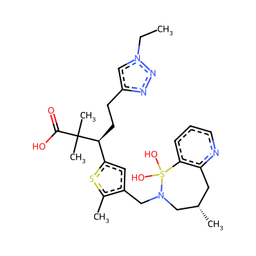 CCn1cc(CC[C@@H](c2cc(CN3C[C@@H](C)Cc4ncccc4S3(O)O)c(C)s2)C(C)(C)C(=O)O)nn1